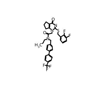 CCCN(Cc1ccc(-c2ccc(C(F)(F)F)cc2)cc1)C(=O)Cn1c(SCc2cccc(F)c2F)nc(=O)c2c1CCC2